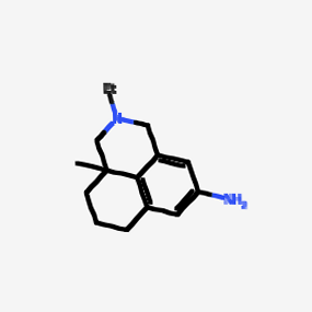 CCN1Cc2cc(N)cc3c2C(C)(CCC3)C1